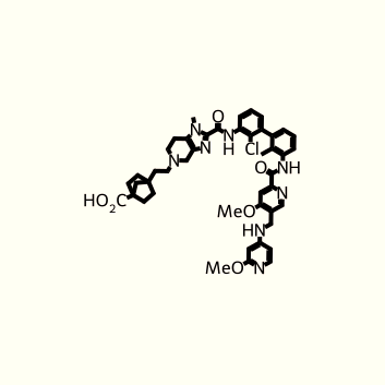 COc1cc(NCc2cnc(C(=O)Nc3cccc(-c4cccc(NC(=O)c5nc6c(n5C)CCN(CCC57CCC(C(=O)O)(CC5)C7)C6)c4Cl)c3C)cc2OC)ccn1